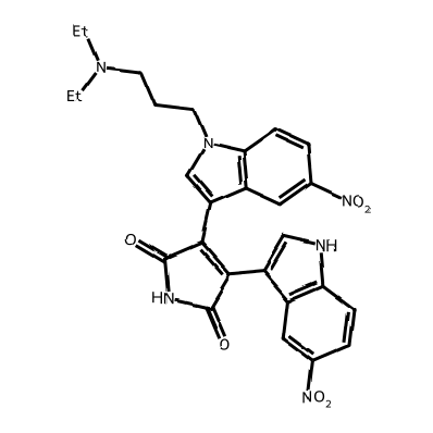 CCN(CC)CCCn1cc(C2=C(c3c[nH]c4ccc([N+](=O)[O-])cc34)C(=O)NC2=O)c2cc([N+](=O)[O-])ccc21